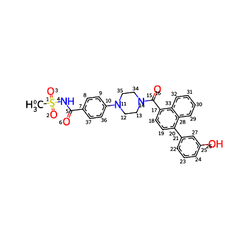 CS(=O)(=O)NC(=O)c1ccc(N2CCN(C(=O)c3ccc(-c4cccc(O)c4)c4ccccc34)CC2)cc1